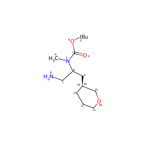 CN(C(=O)OC(C)(C)C)C(CN)C[C@@H]1CCCOC1